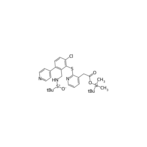 CC(C)(C)[S+]([O-])NCc1c(-c2ccncc2)ccc(Cl)c1Sc1ncccc1CC(=O)O[Si](C)(C)C(C)(C)C